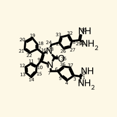 N=C(N)c1ccc(Cn2c(-c3ccccc3)c(-c3ccccc3)n(Cc3ccc(C(=N)N)cc3)c2=O)cc1